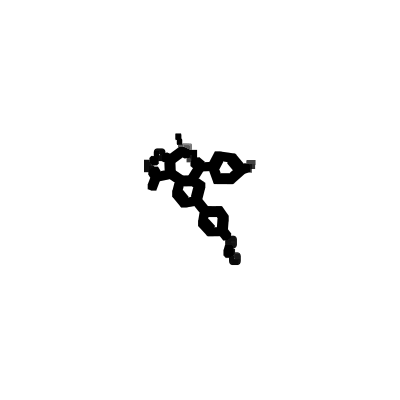 Cc1noc2c1-c1ccc(-c3ccc(OC=O)cc3)cc1C(c1ccc(F)cc1)=N[C@H]2C